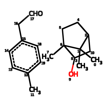 CC1(C)C2CCC1(C)C(O)C2.Cc1ccc(CC=O)cc1